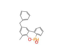 Cc1cc(Cc2ccccc2)cc2c1O[PH](=O)c1ccccc1-2